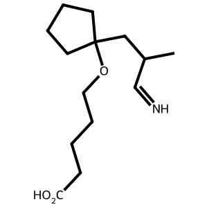 CC(C=N)CC1(OCCCCC(=O)O)CCCC1